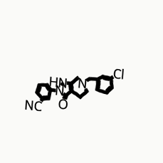 N#Cc1cccc(-n2[nH]c3c(c2=O)CCN(Cc2cccc(Cl)c2)C3)c1